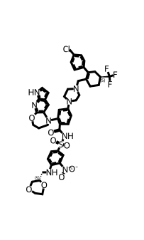 O=C(NS(=O)(=O)c1ccc(NC[C@H]2COCCO2)c([N+](=O)[O-])c1)c1ccc(N2CCN(CC3=C(c4ccc(Cl)cc4)C[C@@H](C(F)(F)F)CC3)CC2)cc1N1CCCOc2nc3[nH]ccc3cc21